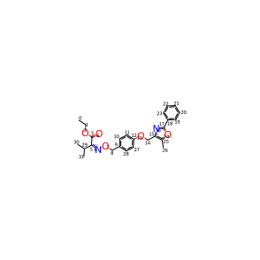 CCOC(=O)/C(=N\OCc1ccc(OCc2nc(-c3ccccc3)oc2C)cc1)C(C)C